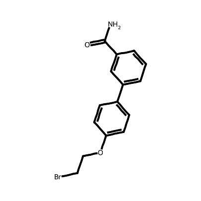 NC(=O)c1cccc(-c2ccc(OCCBr)cc2)c1